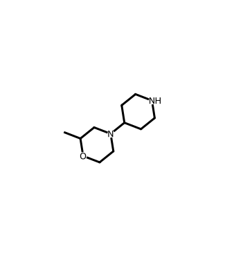 CC1CN(C2CCNCC2)CCO1